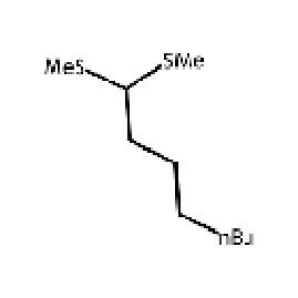 CCCCCCCC(SC)SC